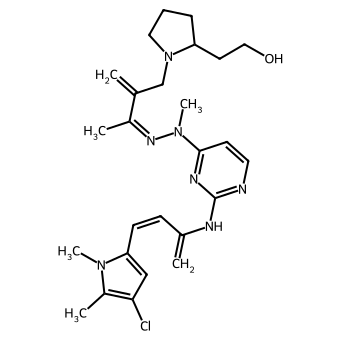 C=C(/C=C\c1cc(Cl)c(C)n1C)Nc1nccc(N(C)/N=C(/C)C(=C)CN2CCCC2CCO)n1